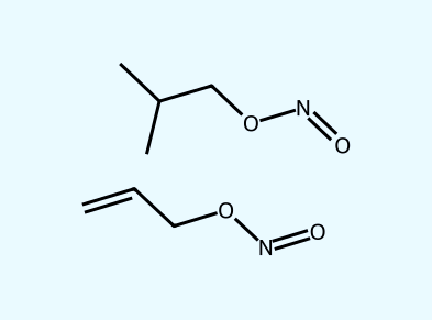 C=CCON=O.CC(C)CON=O